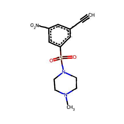 C#Cc1[c]c(S(=O)(=O)N2CCN(C)CC2)cc([N+](=O)[O-])c1